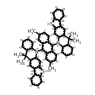 Cc1ccc2c(N3c4ccccc4C(C)(C)c4cc5c(cc43)sc3ccccc35)c3ccc(C)cc3c(N3c4ccccc4C(C)(C)c4cc5c(cc43)sc3ccccc35)c2c1